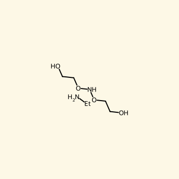 CCN.OCCONOCCO